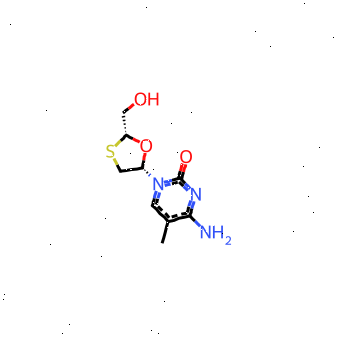 Cc1cn([C@@H]2CS[C@H](CO)O2)c(=O)nc1N